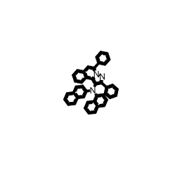 c1ccc(-c2nn3c(-c4ccccc4)cc4ccccc4c3c2N(c2ccc3ccccc3c2)c2cccc3ccccc23)cc1